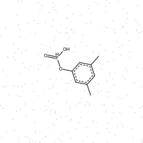 Cc1cc(C)cc(O[PH](=O)O)c1